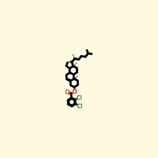 CC(C)CCC[C@@H](C)[C@H]1CCC2C3CC=C4CC(OC(=O)c5cccc(Cl)c5Cl)CC[C@]4(C)C3CC[C@@]21C